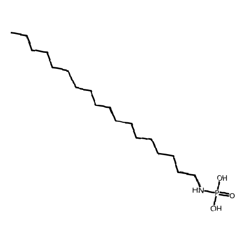 CCCCCCCCCCCCCCCCCCNP(=O)(O)O